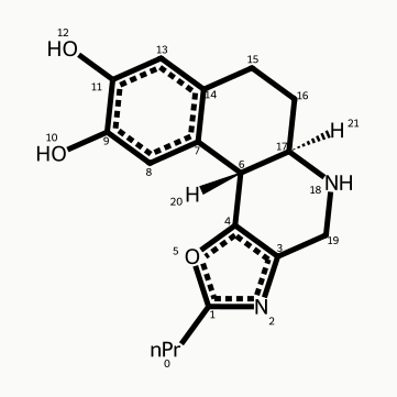 CCCc1nc2c(o1)[C@@H]1c3cc(O)c(O)cc3CC[C@H]1NC2